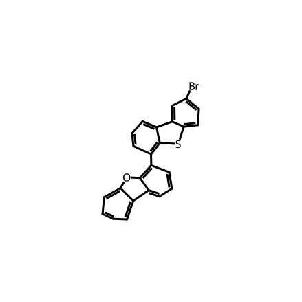 Brc1ccc2sc3c(-c4cccc5c4oc4ccccc45)cccc3c2c1